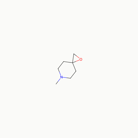 CN1CCC2(CC1)CO2